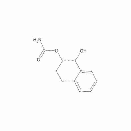 NC(=O)OC1CCc2ccccc2C1O